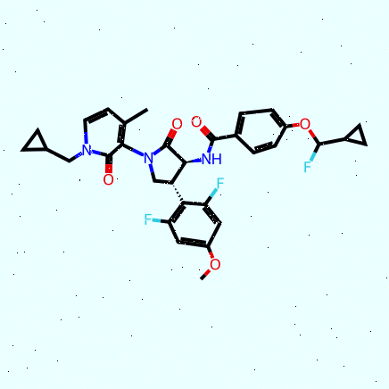 COc1cc(F)c([C@@H]2CN(c3c(C)ccn(CC4CC4)c3=O)C(=O)[C@H]2NC(=O)c2ccc(OC(F)C3CC3)cc2)c(F)c1